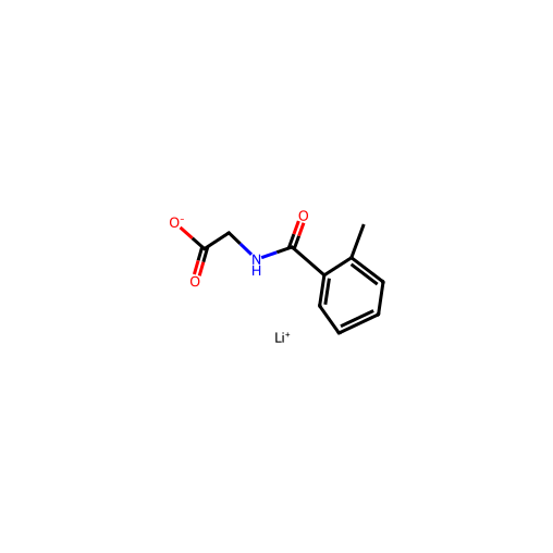 Cc1ccccc1C(=O)NCC(=O)[O-].[Li+]